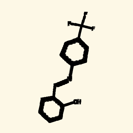 Oc1ccccc1C=Nc1ccc(C(F)(F)F)cc1